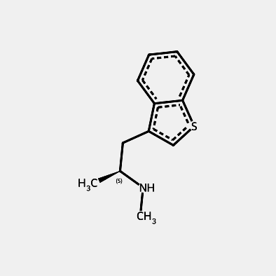 CN[C@@H](C)Cc1csc2ccccc12